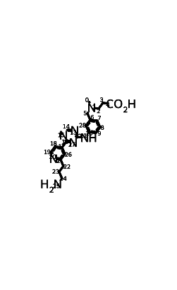 CN(CCC(=O)O)Cc1cccc(Nc2ncnc(-c3ccnc(CCCN)c3)n2)c1